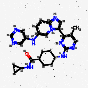 Cc1cnc(N[C@H]2CC[C@H](C(=O)NC3CC3)CC2)nc1-c1cnc2ccc(Nc3cncnc3)cn12